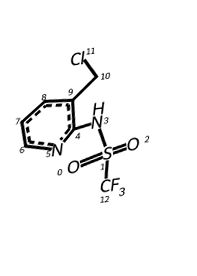 O=S(=O)(Nc1ncccc1CCl)C(F)(F)F